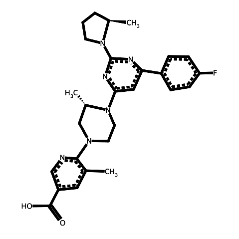 Cc1cc(C(=O)O)cnc1N1CCN(c2cc(-c3ccc(F)cc3)nc(N3CCC[C@H]3C)n2)[C@@H](C)C1